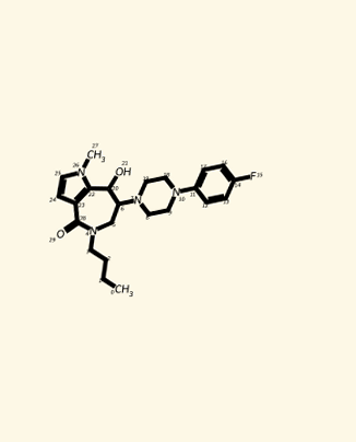 CCCCN1CC(N2CCN(c3ccc(F)cc3)CC2)C(O)c2c(ccn2C)C1=O